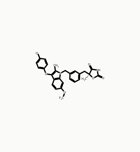 Cc1c(Oc2ccc(Cl)cc2)c2ccc(OC(F)(F)F)cc2n1Cc1cccc(C[C@]2(C)OC(=O)NC2=O)c1